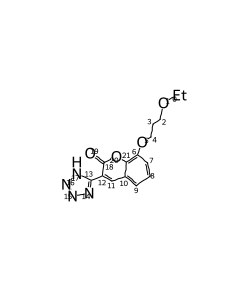 CCOCCCOc1cccc2cc(-c3nnn[nH]3)c(=O)oc12